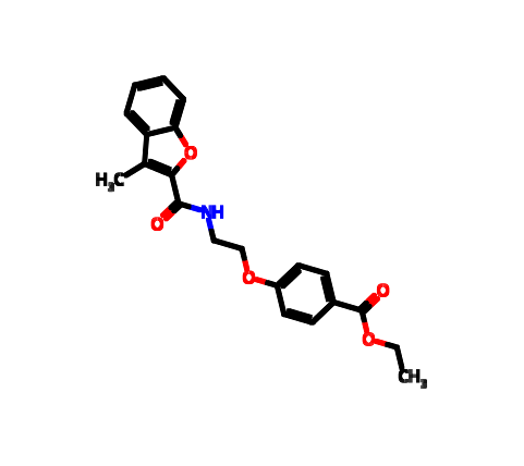 CCOC(=O)c1ccc(OCCNC(=O)c2oc3ccccc3c2C)cc1